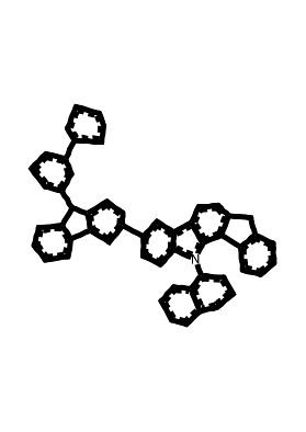 c1ccc(-c2cccc(C3c4ccccc4-c4cc(-c5ccc6c(c5)c5ccc7c(c5n6-c5cccc6ccccc56)-c5ccccc5C7)ccc43)c2)cc1